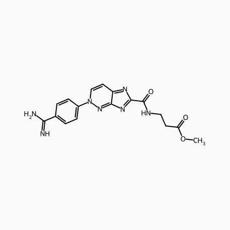 COC(=O)CCNC(=O)c1nc2ccn(-c3ccc(C(=N)N)cc3)nc-2n1